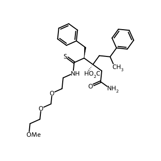 COCCOCOCCNC(=S)[C@@H](Cc1ccccc1)[C@](CC(N)=O)(CC(C)c1ccccc1)C(=O)O